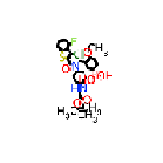 COc1ccc(B(O)O)cc1CN(C(=O)c1sc2cccc(F)c2c1Cl)C1CCC(NCC(=O)OC(C)(C)C)CC1